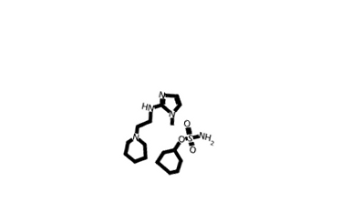 Cn1ccnc1NCCN1CCCCC1.NS(=O)(=O)OC1CCCCC1